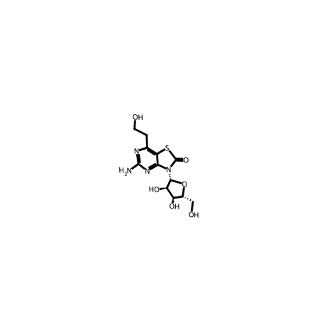 Nc1nc(CCO)c2sc(=O)n([C@@H]3O[C@H](CO)[C@@H](O)[C@H]3O)c2n1